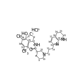 Cl.O=C(O)CC(NC(=O)C1CCCN(CCCc2ccc3c(n2)NCCC3)C1)c1cc(Cl)cc(C(F)(F)F)c1